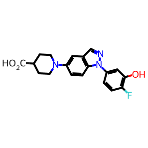 O=C(O)C1CCN(c2ccc3c(cnn3-c3ccc(F)c(O)c3)c2)CC1